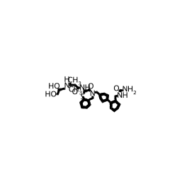 CC(C)(CC(=O)N[C@@H]1Sc2ccccc2CN(Cc2ccc(-c3ccccc3CNC(N)=O)cc2)C1=O)NC[C@H](O)CO